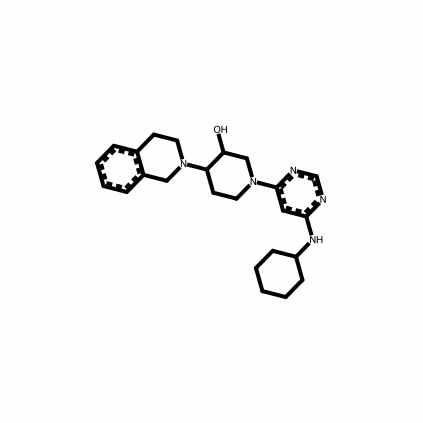 OC1CN(c2cc(NC3CCCCC3)ncn2)CCC1N1CCc2ccccc2C1